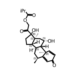 CC(C)C(=O)OCC(=O)[C@@]1(O)CC[C@H]2[C@@H]3C[C@H](C)C4=CC(=O)C=C[C@]4(C)[C@H]3[C@@H](O)C[C@@]21C